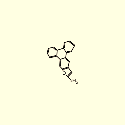 Nc1cc2cc3c4ccccc4c4ccccc4c3cc2o1